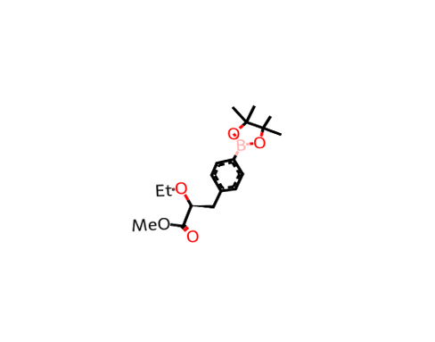 CCO[C@@H](Cc1ccc(B2OC(C)(C)C(C)(C)O2)cc1)C(=O)OC